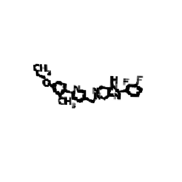 CCCOc1ccc(-c2ccc(CN3Cc4nc(-c5cccc(F)c5F)[nH]c4C=N3)cn2)c(C)c1